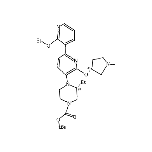 CCOc1ncccc1-c1ccc(N2CCN(C(=O)OC(C)(C)C)C[C@H]2CC)c(O[C@@H]2CCN(C)C2)n1